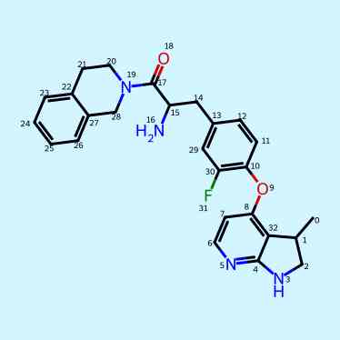 CC1CNc2nccc(Oc3ccc(CC(N)C(=O)N4CCc5ccccc5C4)cc3F)c21